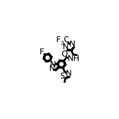 Cc1cnc(-c2cc(C(=O)NC(C)c3cnc(C(F)(F)F)nc3)cc3c2cnn3-c2ccc(F)cc2)s1